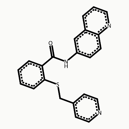 O=C(Nc1ccc2ncccc2c1)c1ccccc1SCc1ccncc1